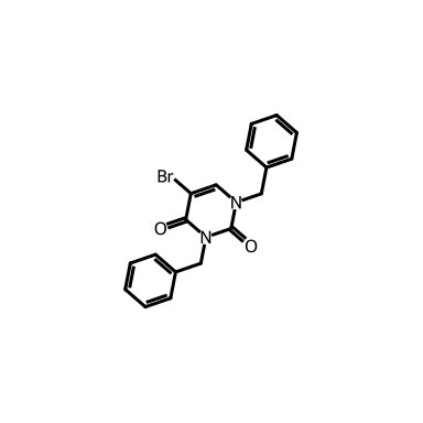 O=c1c(Br)cn(Cc2ccccc2)c(=O)n1Cc1ccccc1